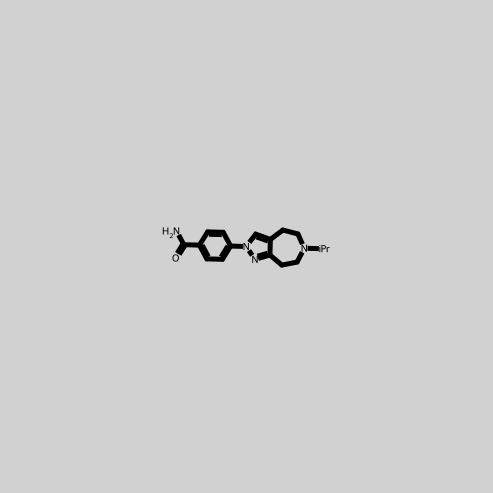 CC(C)N1CCc2cn(-c3ccc(C(N)=O)cc3)nc2CC1